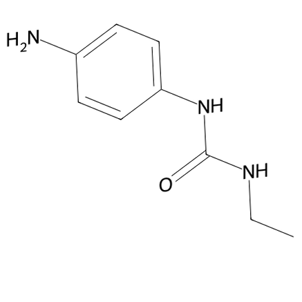 CCNC(=O)Nc1ccc(N)cc1